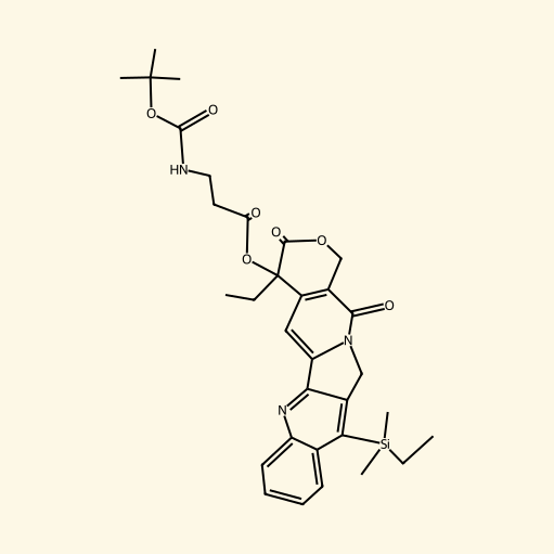 CCC1(OC(=O)CCNC(=O)OC(C)(C)C)C(=O)OCc2c1cc1n(c2=O)Cc2c-1nc1ccccc1c2[Si](C)(C)CC